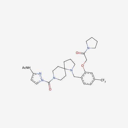 CC(=O)Nc1ccn(C(=O)N2CCC3(CCCN3Cc3ccc(C(F)(F)F)cc3OCC(=O)N3CCCC3)CC2)n1